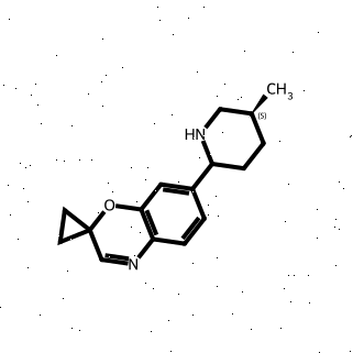 C[C@H]1CCC(c2ccc3c(c2)OC2(C=N3)CC2)NC1